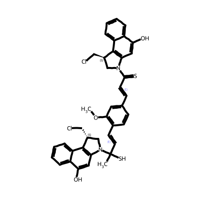 COc1cc(/C=C/C(=S)N2C[C@@H](CCl)c3c2cc(O)c2ccccc32)ccc1/C=C/C(C)(S)N1C[C@@H](CCl)c2c1cc(O)c1ccccc21